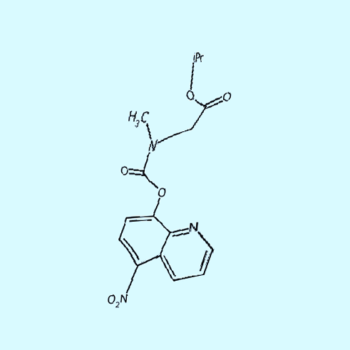 CC(C)OC(=O)CN(C)C(=O)Oc1ccc([N+](=O)[O-])c2cccnc12